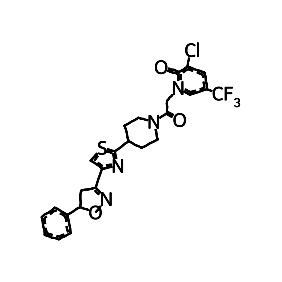 O=C(Cn1cc(C(F)(F)F)cc(Cl)c1=O)N1CCC(c2nc(C3=NOC(c4ccccc4)C3)cs2)CC1